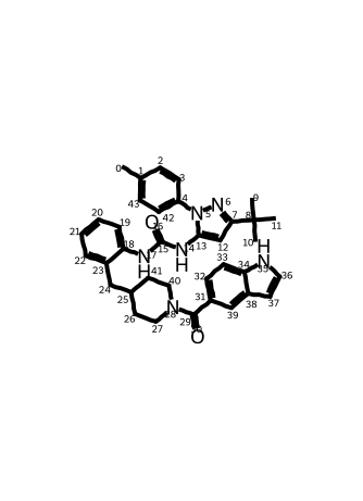 Cc1ccc(-n2nc(C(C)(C)C)cc2NC(=O)Nc2ccccc2CC2CCN(C(=O)c3ccc4[nH]ccc4c3)CC2)cc1